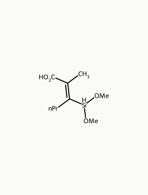 CCC/C(=C(/C)C(=O)O)[SiH](OC)OC